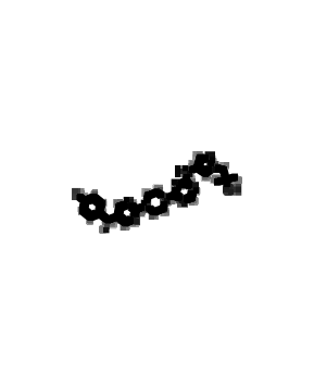 C[C@H](c1ccc(F)cc1)c1cnc(N2CCN(c3ncnc(Nc4cnn(CC(C)(C)O)c4)n3)CC2)nc1